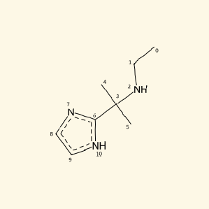 CCNC(C)(C)c1ncc[nH]1